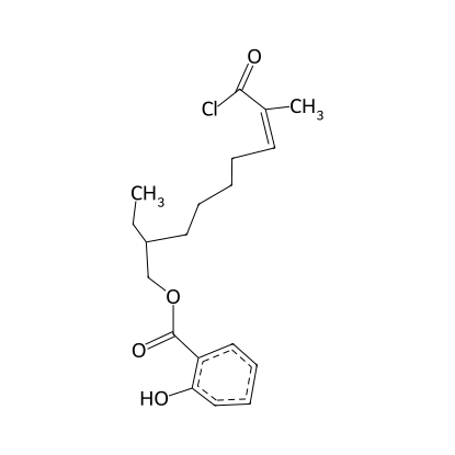 CCC(CCCC/C=C(/C)C(=O)Cl)COC(=O)c1ccccc1O